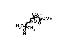 COC(=O)CC(CCCC(C)(C)O)(N=O)C(=O)O